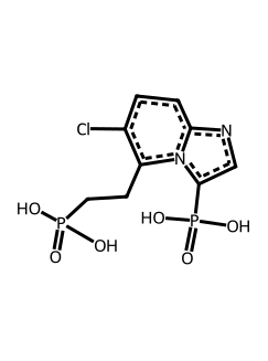 O=P(O)(O)CCc1c(Cl)ccc2ncc(P(=O)(O)O)n12